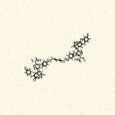 CC[C@H](NC)C(=O)N[C@@H](Cc1ccc(OCCC#CC#CCCOc2ccc(C[C@H](NC(=O)[C@H](CC)NC)C(=O)N3CC(C)(C)c4[nH]c(=O)c(Cc5ccc(F)cc5)cc43)cc2)cc1)C(=O)N1CC(C)(C)c2[nH]c(=O)c(Cc3ccc(F)cc3)cc21